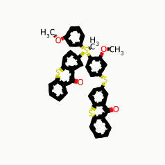 COc1cccc(S(C)(c2ccc3sc4ccccc4c(=O)c3c2)c2ccc(Sc3ccc4sc5ccccc5c(=O)c4c3)cc2OC)c1